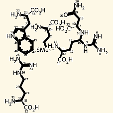 CSCC[C@H](N)C(=O)O.N=C(N)NC(CC[C@H](N)C(=O)O)N[C@@H](CC(N)=O)C(=O)O.N=C(N)NCCC[C@H](N)C(=O)O.N[C@@H](Cc1c[nH]c2ccccc12)C(=O)O